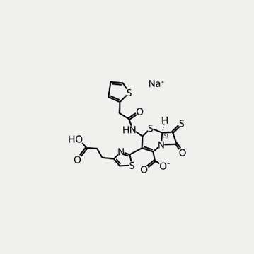 O=C(O)CCc1csc(C2=C(C(=O)[O-])N3C(=O)C(=S)[C@@H]3SC2NC(=O)Cc2cccs2)n1.[Na+]